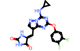 O=C1NC(=O)/C(=C/c2cnn3c(NC4CC4)nc(Oc4ccc(F)c(F)c4)nc23)N1